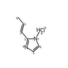 CC=Cc1nccn1C.Cl